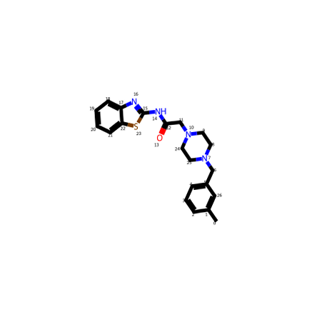 Cc1cccc(CN2CCN(CC(=O)Nc3nc4ccccc4s3)CC2)c1